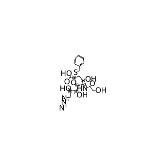 [N-]=[N+]=NC[C@@H](O)[C@@H](O)[C@@H]1O[C@@](SCc2ccccc2)(C(=O)O)C[C@H](O)[C@H]1NC(=O)CO